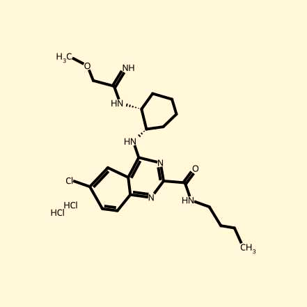 CCCCNC(=O)c1nc(N[C@H]2CCCC[C@H]2NC(=N)COC)c2cc(Cl)ccc2n1.Cl.Cl